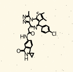 Cc1sc2c(c1C)C(c1ccc(Cl)cc1)=N[C@@H](CC(=O)Nc1ccc3c(c1)C(=O)NC31CC1)c1nnc(C)n1-2